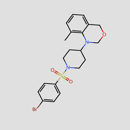 Cc1cccc2c1N(C1CCN(S(=O)(=O)c3ccc(Br)cc3)CC1)COC2